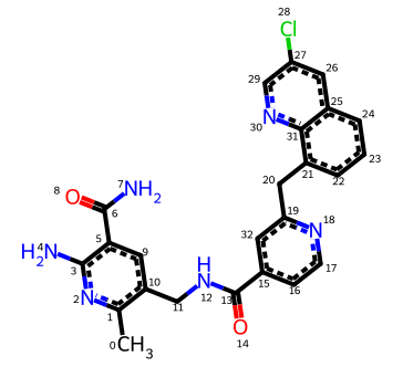 Cc1nc(N)c(C(N)=O)cc1CNC(=O)c1ccnc(Cc2cccc3cc(Cl)cnc23)c1